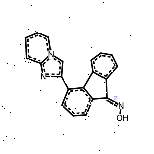 O/N=C1/c2ccccc2-c2c1cccc2-c1cn2ccccc2n1